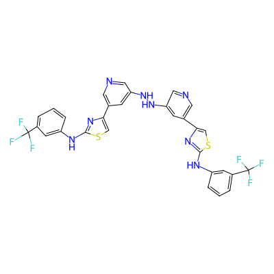 FC(F)(F)c1cccc(Nc2nc(-c3cncc(NNc4cncc(-c5csc(Nc6cccc(C(F)(F)F)c6)n5)c4)c3)cs2)c1